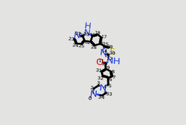 CN1CCN(Cc2ccc(C(=O)Nc3nc(-c4ccc5[nH]c6ncccc6c5c4)cs3)cc2)CC1